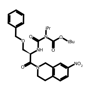 CC(C)N(C(=O)N[C@H](COCc1ccccc1)C(=O)N1CCc2ccc([N+](=O)[O-])cc2C1)C(=O)OC(C)(C)C